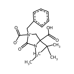 CCN1C(=O)[N+](Cc2ccccc2)(C(=O)[O-])CC1(C(=O)O)C(C)(C)C